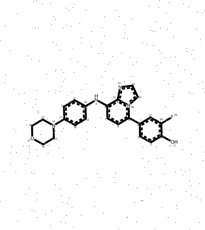 Oc1ccc(-c2ccc(Nc3ccc(N4CCOCC4)cc3)c3nccn23)cc1F